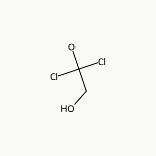 [O]C(Cl)(Cl)CO